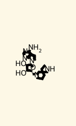 Nc1ncnc2c1ccn2[C@@H]1O[C@H](CN2CCCC3(CCNC3)C2)[C@@H](O)[C@H]1O